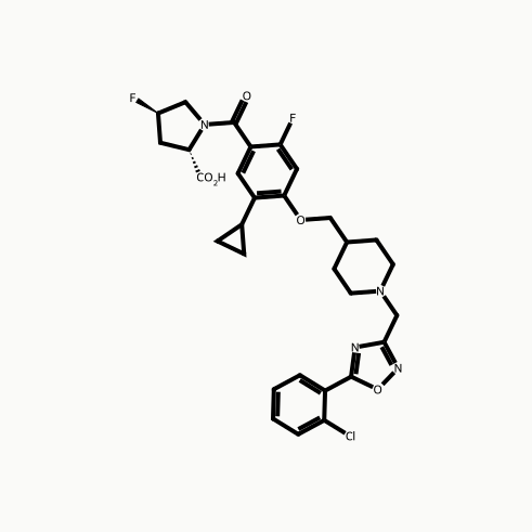 O=C(O)[C@@H]1C[C@@H](F)CN1C(=O)c1cc(C2CC2)c(OCC2CCN(Cc3noc(-c4ccccc4Cl)n3)CC2)cc1F